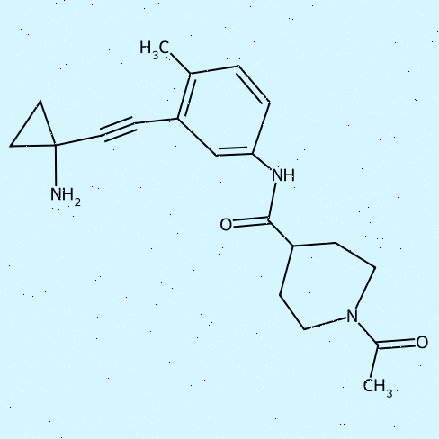 CC(=O)N1CCC(C(=O)Nc2ccc(C)c(C#CC3(N)CC3)c2)CC1